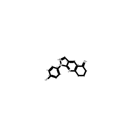 O=C1CCCc2nc3c(cnn3-c3ccc(F)cc3)cc21